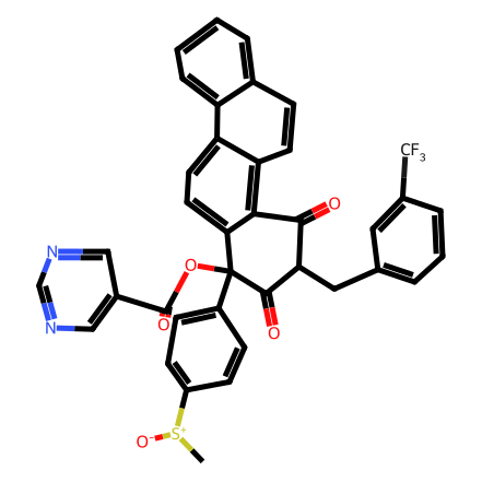 C[S+]([O-])c1ccc(C2(OC(=O)c3cncnc3)C(=O)C(Cc3cccc(C(F)(F)F)c3)C(=O)c3c2ccc2c3ccc3ccccc32)cc1